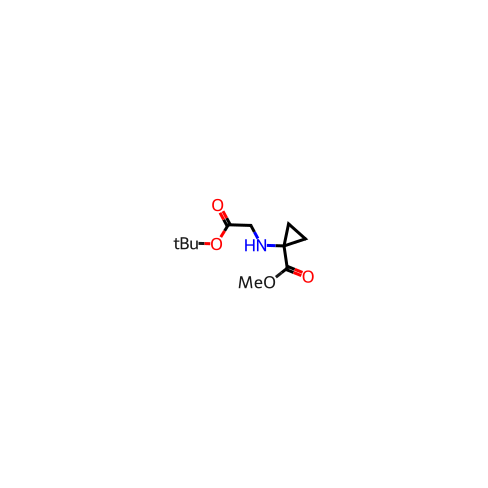 COC(=O)C1(NCC(=O)OC(C)(C)C)CC1